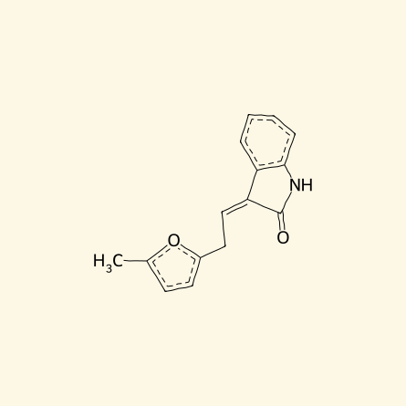 Cc1ccc(CC=C2C(=O)Nc3ccccc32)o1